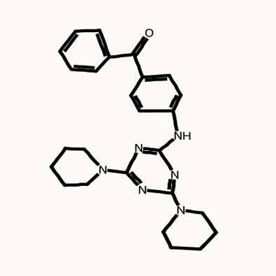 O=C(c1ccccc1)c1ccc(Nc2nc(N3CCCCC3)nc(N3CCCCC3)n2)cc1